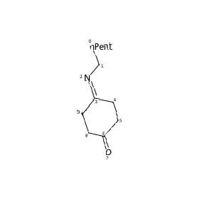 CCCCCCN=C1CCC(=O)CC1